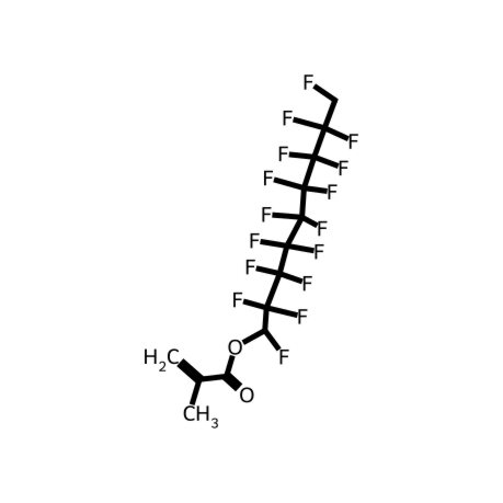 C=C(C)C(=O)OC(F)C(F)(F)C(F)(F)C(F)(F)C(F)(F)C(F)(F)C(F)(F)C(F)(F)CF